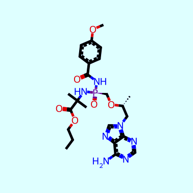 CCCOC(=O)C(C)(C)N[P@](=O)(CO[C@H](C)Cn1cnc2c(N)ncnc21)NC(=O)c1ccc(OC)cc1